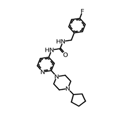 O=C(NCc1ccc(F)cc1)Nc1ccnc(N2CCN(C3CCCC3)CC2)c1